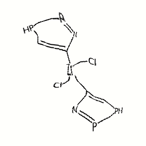 [Cl][Zr]([Cl])([c]1c[pH]pn1)[c]1c[pH]pn1